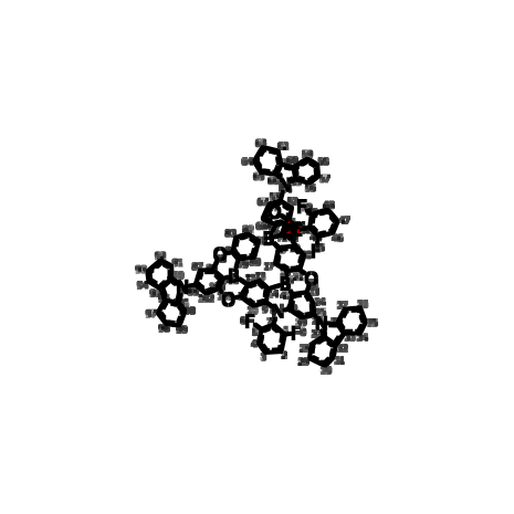 Fc1cccc(F)c1N1c2cc3c(cc2B2c4cc5c(cc4Oc4cc(-n6c7ccccc7c7ccccc76)cc1c42)N(c1c(F)cccc1F)c1cc(-n2c4ccccc4c4ccccc42)cc2c1B5c1ccccc1O2)B1c2ccccc2Oc2cc(-n4c5ccccc5c5ccccc54)cc(c21)O3